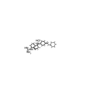 Cl.N=C(N)Nc1cccc2c(Nc3ccc(OCC4CCCCC4)cc3)ccnc12